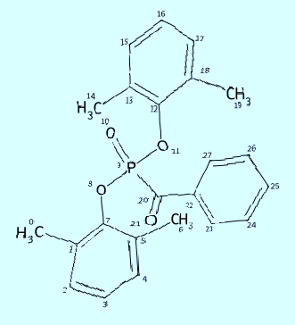 Cc1cccc(C)c1OP(=O)(Oc1c(C)cccc1C)C(=O)c1ccccc1